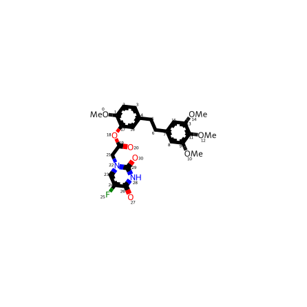 COc1ccc(CCc2cc(OC)c(OC)c(OC)c2)cc1OC(=O)Cn1cc(F)c(=O)[nH]c1=O